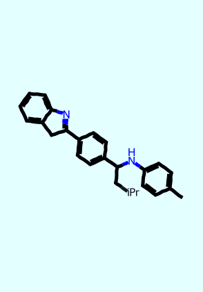 Cc1ccc(NC(CC(C)C)c2ccc(C3=Nc4ccccc4C3)cc2)cc1